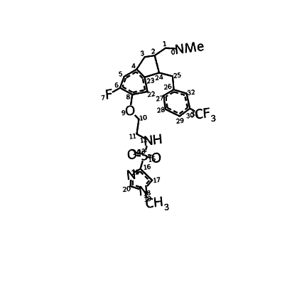 CNCC1Cc2cc(F)c(OCCNS(=O)(=O)c3cn(C)cn3)cc2C1Cc1cccc(C(F)(F)F)c1